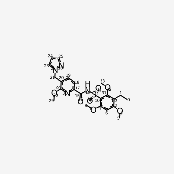 CCc1c(OC)cc(OC)c(S(=O)(=O)NC(=O)c2ccc(Cn3cccn3)c(OC)n2)c1OC